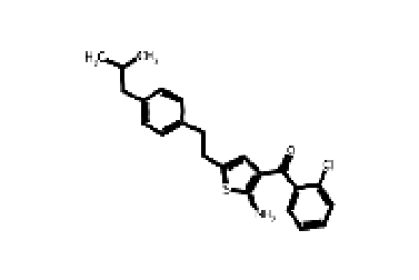 CC(C)Cc1ccc(CCc2cc(C(=O)c3ccccc3Cl)c(N)s2)cc1